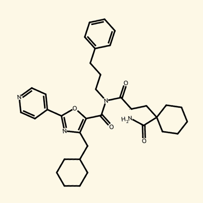 NC(=O)C1(C[CH]C(=O)N(CCCc2ccccc2)C(=O)c2oc(-c3ccncc3)nc2CC2CCCCC2)CCCCC1